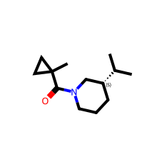 CC(C)[C@@H]1CCCN(C(=O)C2(C)CC2)C1